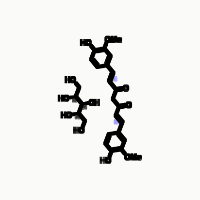 COc1cc(/C=C/C(=O)CC(=O)/C=C/c2ccc(O)c(OC)c2)ccc1O.OC[C@@H](O)[C@H](O)[C@@H](O)CO